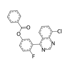 O=C(Oc1ccc(F)c(-c2ncnc3c(Cl)cccc23)c1)c1ccccc1